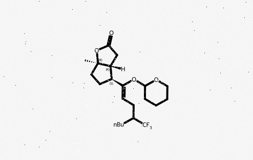 CCCCC(CC=C(OC1CCCCO1)[C@H]1CC[C@@]2(C)OC(=O)C[C@H]12)C(F)(F)F